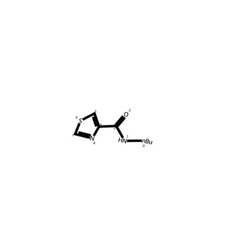 CCCCNC(=O)c1cscn1